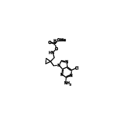 CO[PH](=O)ONCC1(Cn2cnc3c(Cl)nc(N)nc32)CC1